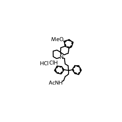 COc1cccc2c1CC1(CCCCN1CCCC(CCCNC(C)=O)(c1ccccc1)c1ccccc1)CC2.Cl.Cl